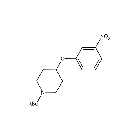 CC(C)(C)N1CCC(Oc2cccc([N+](=O)[O-])c2)CC1